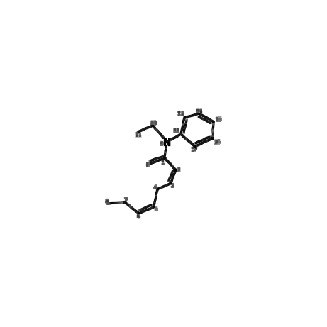 C=C(/C=C\C/C=C\CC)N(CC)c1ccccc1